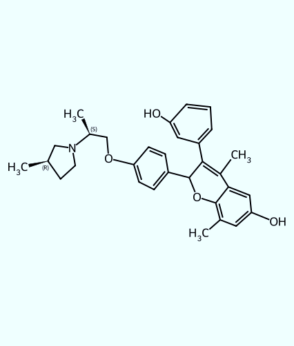 CC1=C(c2cccc(O)c2)C(c2ccc(OC[C@H](C)N3CC[C@@H](C)C3)cc2)Oc2c(C)cc(O)cc21